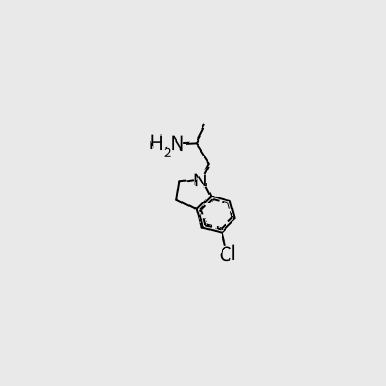 CC(N)CN1CCc2cc(Cl)ccc21